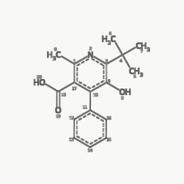 Cc1nc(C(C)(C)C)c(O)c(-c2ccccc2)c1C(=O)O